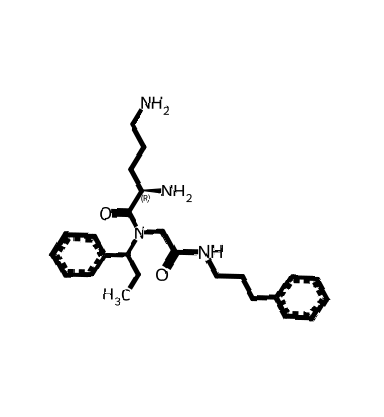 CCC(c1ccccc1)N(CC(=O)NCCCc1ccccc1)C(=O)[C@H](N)CCCN